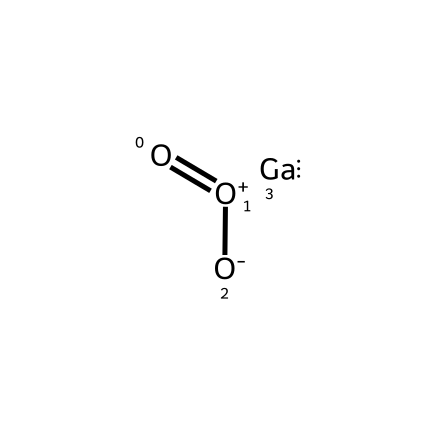 O=[O+][O-].[Ga]